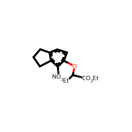 CCOC(=O)C(CC)Oc1ccc2c(c1[N+](=O)[O-])CCC2